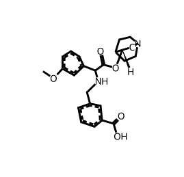 COc1cccc(C(NCc2cccc(C(=O)O)c2)C(=O)O[C@H]2CN3CCC2CC3)c1